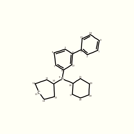 c1ccc(-c2cccc(P(C3CCCCC3)C3CCCCC3)c2)cc1